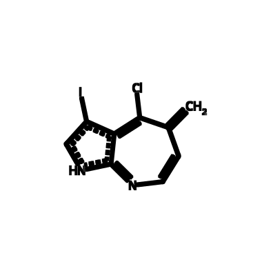 C=C1C=CN=c2[nH]cc(I)c2=C1Cl